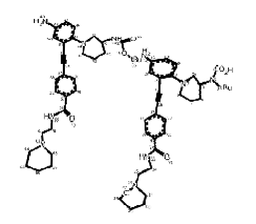 CC(C)(C)N(C(=O)O)C1CCCN(c2ccc(N)cc2C#Cc2ccc(C(=O)NCCN3CCCCC3)cc2)C1.CC(C)(C)OC(=O)NC1CCCN(c2ccc(N)cc2C#Cc2ccc(C(=O)NCCN3CCCCC3)cc2)C1